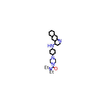 CCN(CC)C(=O)N1CCN(c2ccc(Nc3ccnc4cc5ccccc5cc34)cc2)CC1